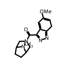 COC1=CCC2=NN=C(C(=O)N3CC4CCC(C3)N4C)C2=C1